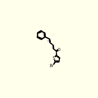 O=C(/C=C/C=C/c1ccccc1)c1ccc(Br)s1